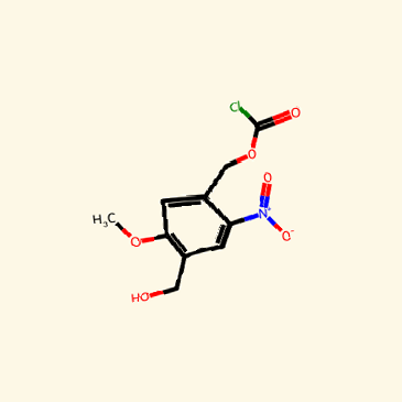 COc1cc(COC(=O)Cl)c([N+](=O)[O-])cc1CO